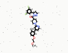 COCCOc1ccc(C)c(-c2ccnc(N3CCC(C(=O)N4N=CCC4c4cc(F)cc(F)c4)CC3)c2)c1